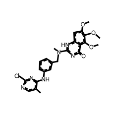 COc1cc2[nH]c(N(C)Cc3cccc(Nc4nc(Cl)ncc4C)c3)nc(=O)c2c(OC)c1OC